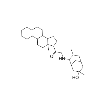 CC1CC2CC(CC(C)(O)C2)C1NCC(=O)C1CCC2C3CCC4CCCCC4C3CCC12C